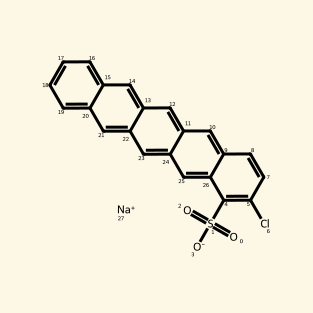 O=S(=O)([O-])c1c(Cl)ccc2cc3cc4cc5ccccc5cc4cc3cc12.[Na+]